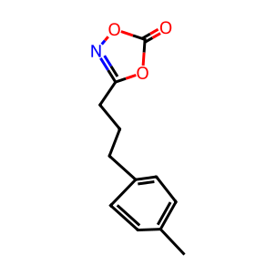 Cc1ccc(CCCc2noc(=O)o2)cc1